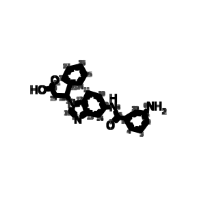 Nc1cccc(C(=O)Nc2ccc3c(c2)ncn3C(CC(=O)O)c2ccccc2)c1